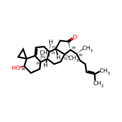 CC(C)=CCC[C@@H](C)[C@H]1C(=O)C[C@H]2[C@@H]3CC=C4C5(CC5)[C@H](O)CC[C@]4(C)[C@H]3CC[C@]12C